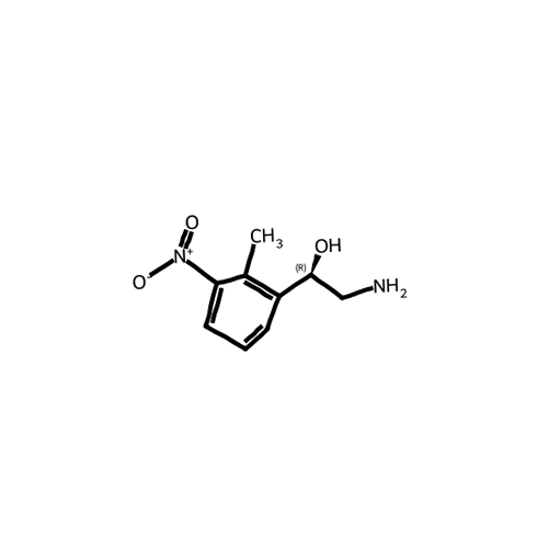 Cc1c([C@@H](O)CN)cccc1[N+](=O)[O-]